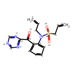 C=CCN(c1ccccc1C(=O)c1ncncn1)S(=O)(=O)CC=C